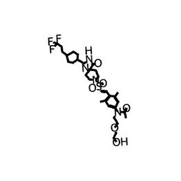 CC(=O)N(CCOCCO)c1cc(C)c(C=CS(=O)(=O)N2CCC3(CC2)N=C(C2CCC(CCC(F)(F)F)CC2)NC3=O)c(C)c1